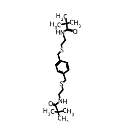 CC(C)(C)C(=O)NCCSCc1ccc(CSCCNC(=O)C(C)(C)C)cc1